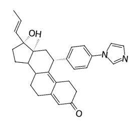 C/C=C/[C@]1(O)CCC2C3CCC4=CC(=O)CCC4=C3[C@@H](c3ccc(-n4ccnc4)cc3)C[C@@]21C